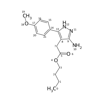 CCCCOC(=O)Cc1c(N)n[nH]c1-c1ccc(OC)cc1